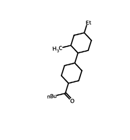 CCCCC(=O)C1CCC(C2CCC(CC)CC2C)CC1